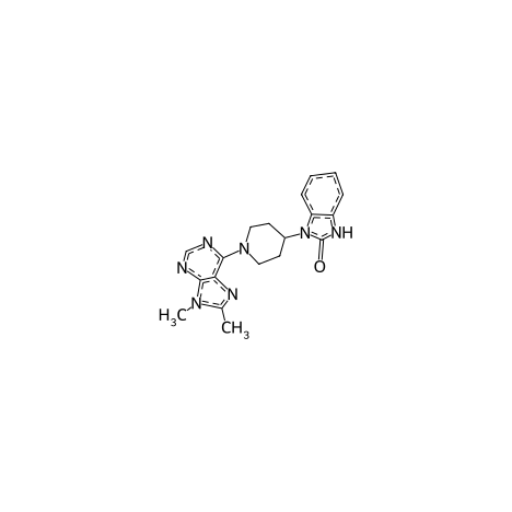 Cc1nc2c(N3CCC(n4c(=O)[nH]c5ccccc54)CC3)ncnc2n1C